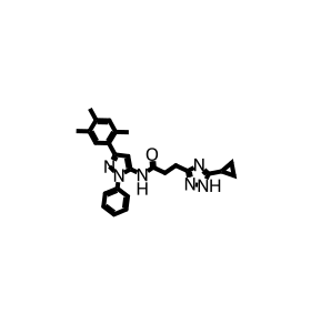 Cc1cc(C)c(-c2cc(NC(=O)CCc3n[nH]c(C4CC4)n3)n(-c3ccccc3)n2)cc1C